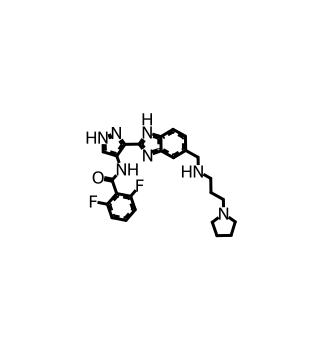 O=C(Nc1c[nH]nc1-c1nc2cc(CNCCCN3CCCC3)ccc2[nH]1)c1c(F)cccc1F